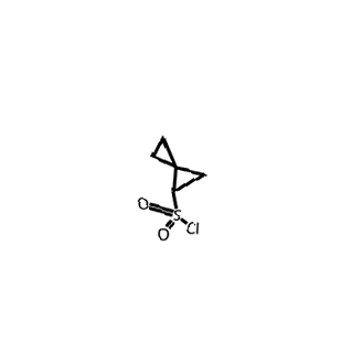 O=S(=O)(Cl)C1CC12CC2